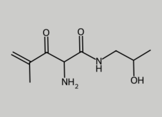 C=C(C)C(=O)C(N)C(=O)NCC(C)O